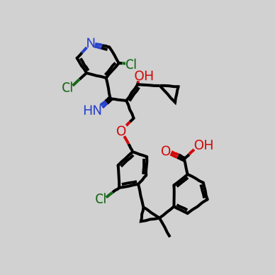 CC1(c2cccc(C(=O)O)c2)CC1c1ccc(OC/C(C(=N)c2c(Cl)cncc2Cl)=C(/O)C2CC2)cc1Cl